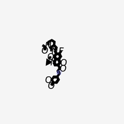 COc1c(N2CC3CCCN(C(C)=O)C3C2)c(F)cc2c(=O)c(C(=O)/C=C/C3=CC(=O)C(=O)C=C3)cn(C3CC3)c12